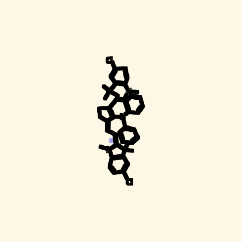 CN(C=CC1=C(N(c2ccccc2)c2ccccc2)C(=C/C=C2\N(C)c3ccc(Cl)cc3C2(C)C)CC1)c1ccc(Cl)cc1C(C)(C)C